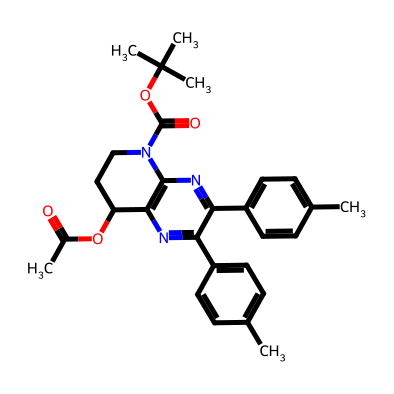 CC(=O)OC1CCN(C(=O)OC(C)(C)C)c2nc(-c3ccc(C)cc3)c(-c3ccc(C)cc3)nc21